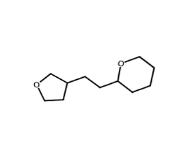 C1CCC(CCC2CCOC2)OC1